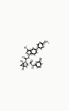 CC(=O)c1nn(CC(=O)N2[C@@H]3C[C@H]3C[C@H]2C(=O)Nc2cncc(Br)n2)c2ccc(-c3cnc(N)nc3)cc12